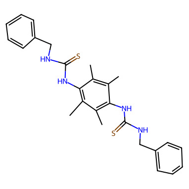 Cc1c(C)c(NC(=S)NCc2ccccc2)c(C)c(C)c1NC(=S)NCc1ccccc1